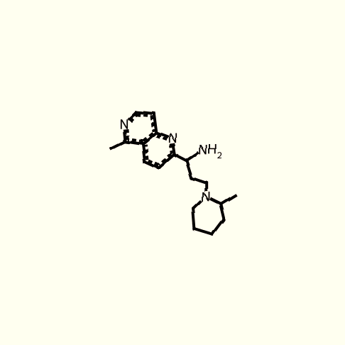 Cc1nccc2nc(C(N)CCN3CCCCC3C)ccc12